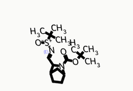 CC(C)(C)OC(=O)N1C2CCC(C2)C1/C=N/[S+]([O-])C(C)(C)C